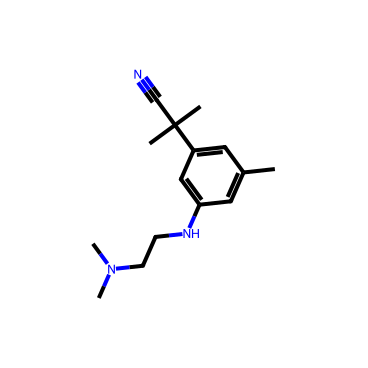 Cc1cc(NCCN(C)C)cc(C(C)(C)C#N)c1